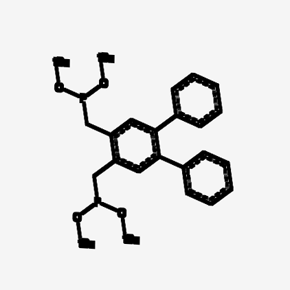 CC(C)(C)OP(Cc1cc(-c2ccccc2)c(-c2ccccc2)cc1CP(OC(C)(C)C)OC(C)(C)C)OC(C)(C)C